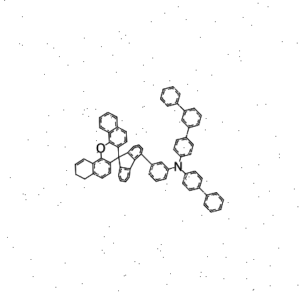 C1=Cc2c(ccc3c2Oc2c(ccc4ccccc24)C32c3ccccc3-c3c(-c4cccc(N(c5ccc(-c6ccccc6)cc5)c5ccc(-c6cccc(-c7ccccc7)c6)cc5)c4)cccc32)CC1